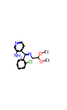 CCOC(CN=C(c1ccncc1N)c1ccccc1Cl)OCC